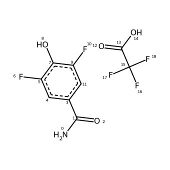 NC(=O)c1cc(F)c(O)c(F)c1.O=C(O)C(F)(F)F